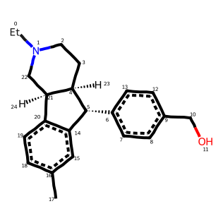 CCN1CC[C@H]2[C@H](c3ccc(CO)cc3)c3cc(C)ccc3[C@H]2C1